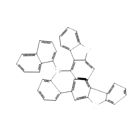 c1ccc(N(c2cccc3ccccc23)c2cccc3oc4ccccc4c23)c(-c2ccc3c(c2)oc2ccccc23)c1